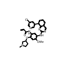 C=CC(=O)Nc1cc(Nc2ncc3cccc(-c4cncc(Cl)c4)c3n2)c(OC)cc1OC1CCN(C)C1